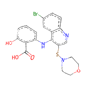 O=C(O)c1c(O)cccc1Nc1c(SN2CCOCC2)cnc2ccc(Br)cc12